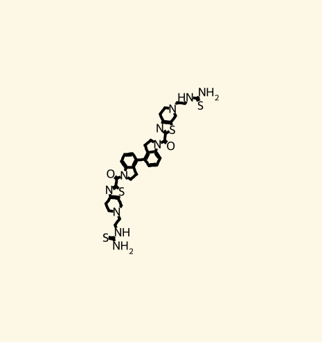 NC(=S)NCCN1CCc2nc(C(=O)N3CCc4c(-c5cccc6c5CCN6C(=O)c5nc6c(s5)CN(CCNC(N)=S)CC6)cccc43)sc2C1